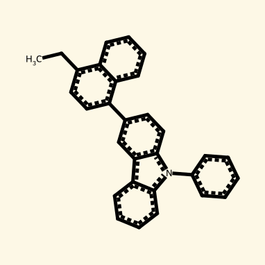 CCc1ccc(-c2ccc3c(c2)c2ccccc2n3-c2ccccc2)c2ccccc12